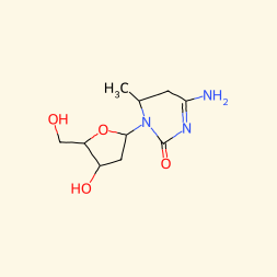 CC1CC(N)=NC(=O)N1C1CC(O)C(CO)O1